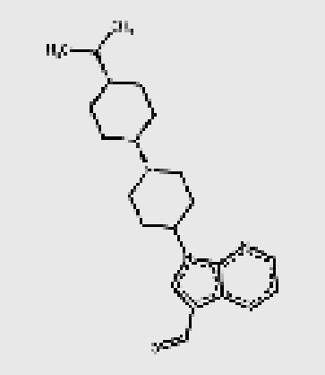 CC(C)[C@H]1CC[C@@H](N2CCC(n3cc(C=O)c4cccnc43)CC2)CC1